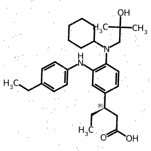 CCc1ccc(Nc2cc([C@H](CC)CC(=O)O)ccc2N(CC(C)(C)O)C2CCCCC2)cc1